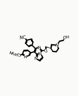 COc1ccc(-c2c(-c3ccc(C#N)cc3)nc(OC[C@@H]3CCCN(CCO)C3)n3ccnc23)cn1